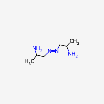 CC(N)CN=NCC(C)N